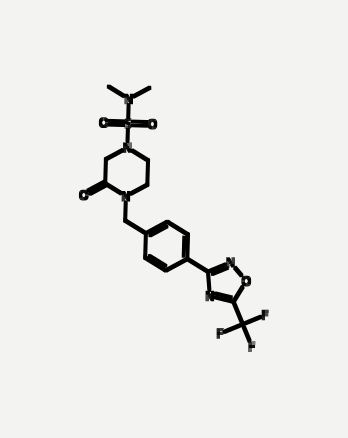 CN(C)S(=O)(=O)N1CCN(Cc2ccc(-c3noc(C(F)(F)F)n3)cc2)C(=O)C1